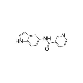 O=C(Nc1ccc2[nH]ccc2c1)c1cccnc1